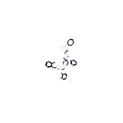 O=C(CN1CN(c2ccccc2)C2(CCN(C(=O)[C@@H](Cc3ccc(Cl)cc3Cl)NC(=O)[C@H]3Cc4ccccc4CN3)CC2)C1=O)NC1CCCCC1